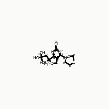 CC(C)(O)CC1(C)OCc2c(N3CCOCC3)nc(Cl)nc21